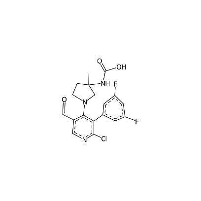 CC1(NC(=O)O)CCN(c2c(C=O)cnc(Cl)c2-c2cc(F)cc(F)c2)C1